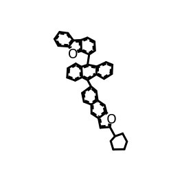 c1ccc2c(c1)oc1c(-c3c4ccccc4c(-c4ccc5cc6cc(C7CCCCC7)oc6cc5c4)c4ccccc34)cccc12